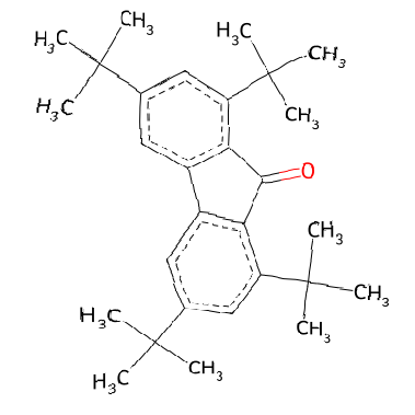 CC(C)(C)c1cc2c(c(C(C)(C)C)c1)C(=O)c1c-2cc(C(C)(C)C)cc1C(C)(C)C